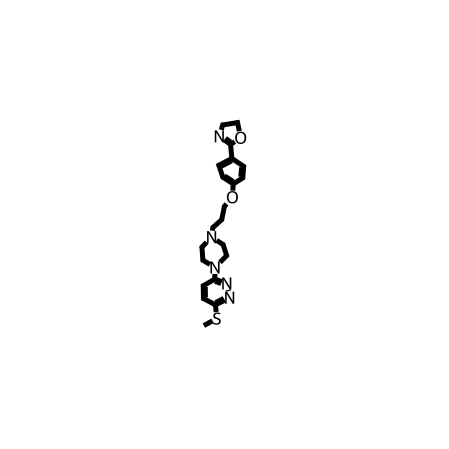 CSc1ccc(N2CCN(CCCOc3ccc(C4=NCCO4)cc3)CC2)nn1